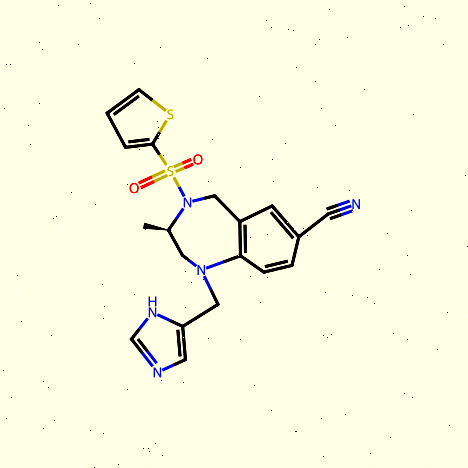 C[C@@H]1CN(Cc2cnc[nH]2)c2ccc(C#N)cc2CN1S(=O)(=O)c1cccs1